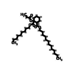 C=CC(=O)OC1(C(=O)OCCCCCCCCC)CCCCC1C(=O)OCCCCCCCCCCCCC